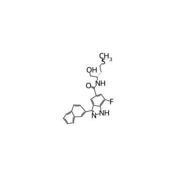 CSCC[C@@H](CO)NC(=O)c1cc(F)c2[nH]nc(-c3ccc4ccccc4c3)c2c1